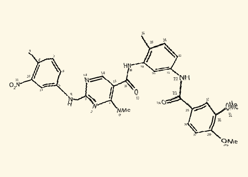 CNc1nc(Nc2ccc(C)c([N+](=O)[O-])c2)ncc1C(=O)Nc1cc(NC(=O)c2ccc(OC)c(OC)c2)ccc1C